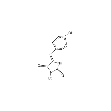 CCN1C(=O)/C(=C/c2ccc(O)cc2)NC1=S